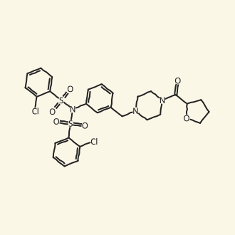 O=C(C1CCCO1)N1CCN(Cc2cccc(N(S(=O)(=O)c3ccccc3Cl)S(=O)(=O)c3ccccc3Cl)c2)CC1